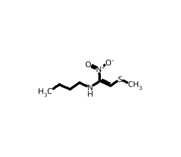 CCCCNC(=CSC)[N+](=O)[O-]